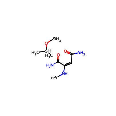 CCCN/C(=C/C(N)=O)C(N)=O.C[SiH](C)O[SiH3]